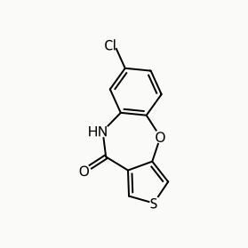 O=C1Nc2cc(Cl)ccc2Oc2cscc21